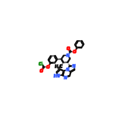 C[C@@H]1C(c2cccc(OC(=O)Cl)c2)CN(C(=O)Oc2ccccc2)C[C@@H]1c1ncc2cnc3[nH]ccc3n12